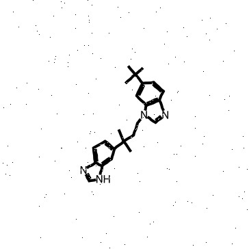 CC(C)(C)c1ccc2ncn(CCC(C)(C)c3ccc4nc[nH]c4c3)c2c1